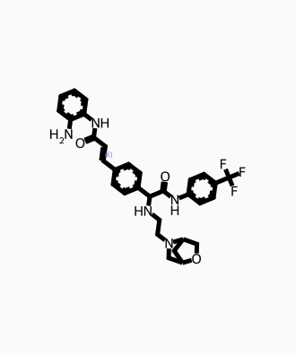 Nc1ccccc1NC(=O)/C=C/c1ccc(C(NCCN2CC3CC2CO3)C(=O)Nc2ccc(C(F)(F)F)cc2)cc1